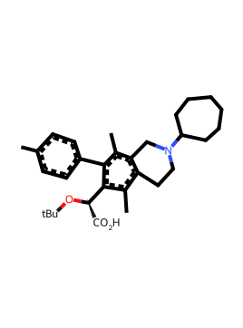 Cc1ccc(-c2c(C)c3c(c(C)c2[C@H](OC(C)(C)C)C(=O)O)CCN(C2CCCCCC2)C3)cc1